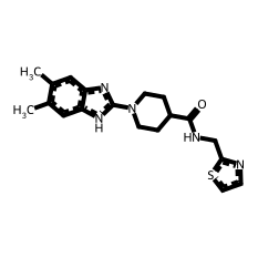 Cc1cc2nc(N3CCC(C(=O)NCc4nccs4)CC3)[nH]c2cc1C